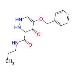 CCCNC(=O)C1NNC=C(OCc2ccccc2)C1=O